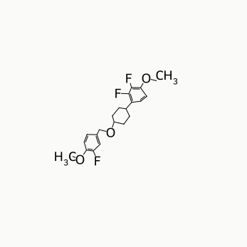 CCOc1ccc(C2CCC(OCc3ccc(OC)c(F)c3)CC2)c(F)c1F